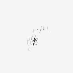 NCC(=O)NC1CC=C(c2ccn(S(=O)(=O)NC(=O)OCc3ccccc3)c2C(=O)OCc2ccccc2)CC1